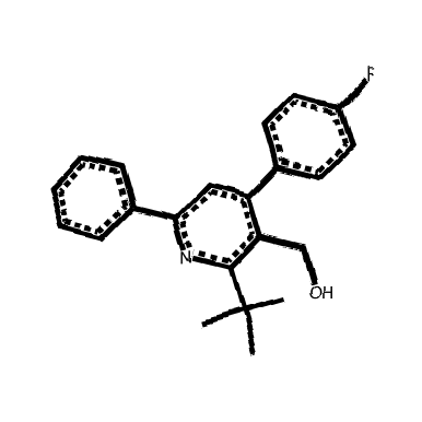 CC(C)(C)c1nc(-c2ccccc2)cc(-c2ccc(F)cc2)c1CO